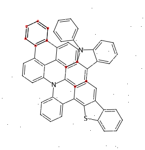 c1ccc(-c2ccccc2-c2c(-c3ccccc3)cccc2N(c2ccc3c4ccccc4n(-c4ccccc4)c3c2)c2ccccc2-c2cccc3c2sc2ccccc23)cc1